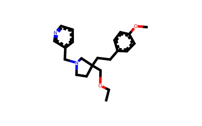 CCOCC1(CCc2ccc(OC)cc2)CCN(Cc2cccnc2)C1